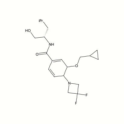 CC(C)C[C@@H](CO)NC(=O)C1=CC(OCC2CC2)C(N2CC(F)(F)C2)C=C1